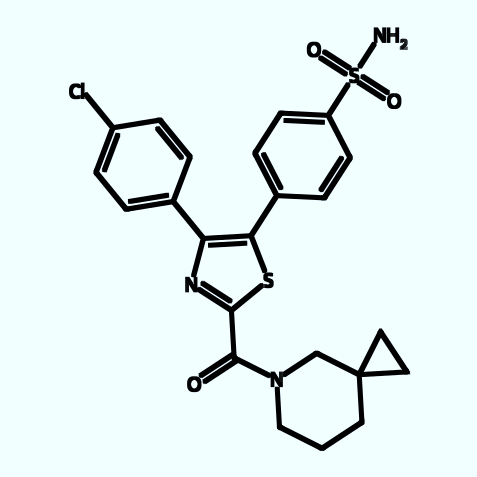 NS(=O)(=O)c1ccc(-c2sc(C(=O)N3CCCC4(CC4)C3)nc2-c2ccc(Cl)cc2)cc1